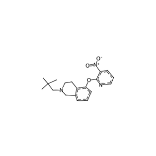 CC(C)(C)CN1CCc2c(cccc2Oc2ncccc2[N+](=O)[O-])C1